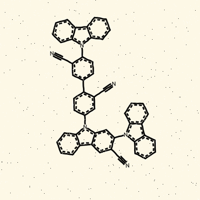 N#Cc1cc(-n2c3ccccc3c3cc(C#N)c(-n4c5ccccc5c5ccccc54)cc32)ccc1-c1ccc(-n2c3ccccc3c3ccccc32)c(C#N)c1